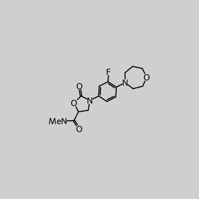 CNC(=O)C1CN(c2ccc(N3CCCOCC3)c(F)c2)C(=O)O1